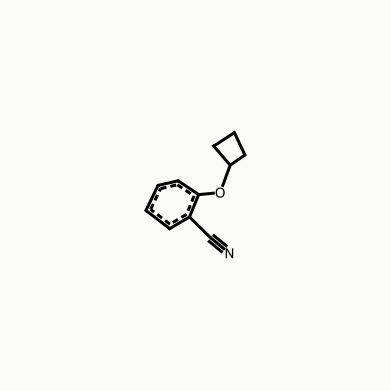 N#Cc1ccccc1OC1CCC1